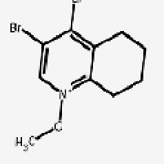 CO[n+]1cc(Br)c(Cl)c2c1CCCC2